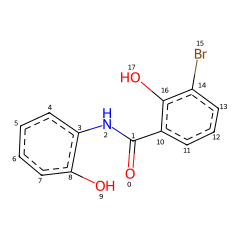 O=C(Nc1ccccc1O)c1cccc(Br)c1O